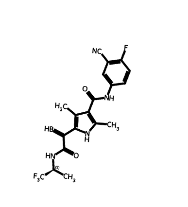 B=C(C(=O)N[C@@H](C)C(F)(F)F)c1[nH]c(C)c(C(=O)Nc2ccc(F)c(C#N)c2)c1C